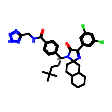 CC(C)(C)CC[C@H](c1ccc(C(=O)NCc2nn[nH]n2)cc1)N1C(=O)C(c2cc(Cl)cc(Cl)c2)=NC12CCC1CCCCC1C2